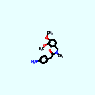 COc1ccc(CN(C)C(=O)Cc2ccc(N)cc2)cc1OC